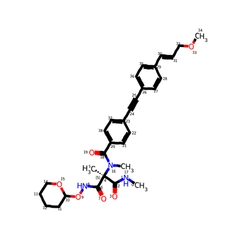 CNC(=O)[C@@](C)(C(=O)NOC1CCCCO1)N(C)C(=O)c1ccc(C#Cc2ccc(C=CCOC)cc2)cc1